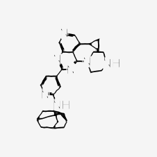 c1cc(-c2nc(N3CCNCC3)c3c(C4CC4)cncc3n2)cc(NC23CC4CC(CC(C4)C2)C3)n1